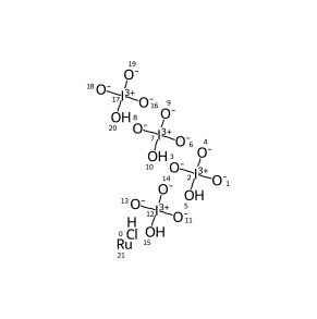 Cl.[O-][I+3]([O-])([O-])O.[O-][I+3]([O-])([O-])O.[O-][I+3]([O-])([O-])O.[O-][I+3]([O-])([O-])O.[Ru]